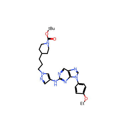 CCOc1ccc(-n2cnc3cnc(Nc4cnn(CCCC5CCN(C(=O)OC(C)(C)C)CC5)c4)nc32)cc1